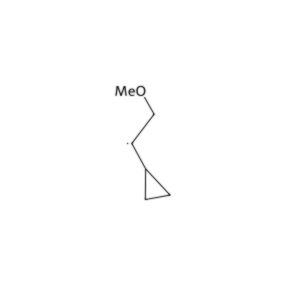 COC[CH]C1CC1